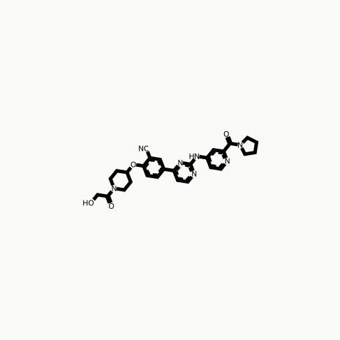 N#Cc1cc(-c2ccnc(Nc3ccnc(C(=O)N4CCCC4)c3)n2)ccc1OC1CCN(C(=O)CO)CC1